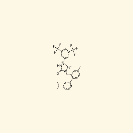 Cc1ccc(-c2cc(C(C)C)ccc2C)c(CN2C(=O)N[C@H](c3cc(C(F)(F)F)cc(C(F)(F)F)c3)[C@@H]2C)c1